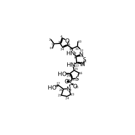 CC(C)c1coc([C@H](Nc2nsnc2NC2CSC(S(=O)(=O)N3CCCC3CO)=C2O)C(C)C)c1